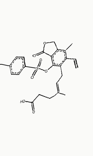 C=Cc1c(C)c2c(c(OS(=O)(=O)c3ccc(C)cc3)c1C/C=C(\C)CCC(=O)O)C(=O)OC2